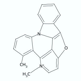 Cc1cccc2c1c1c3c(cc[n+]1C)oc1c4ccccc4n2c13